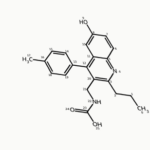 CCCc1nc2ccc(O)cc2c(-c2ccc(C)cc2)c1CNC(=O)O